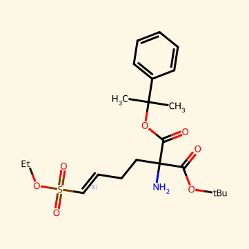 CCOS(=O)(=O)/C=C/CCC(N)(C(=O)OC(C)(C)C)C(=O)OC(C)(C)c1ccccc1